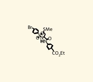 CCOC(=O)Cc1ccc(NC(=O)C(CCSC)NS(=O)(=O)c2ccc(Br)cc2)cc1